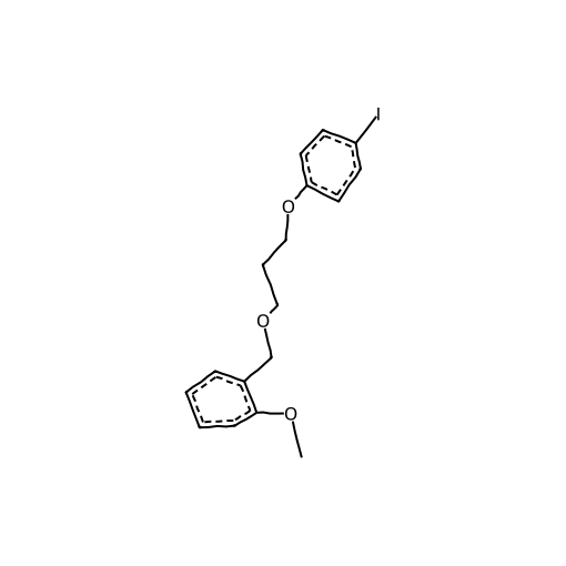 COc1ccccc1COCCCOc1ccc(I)cc1